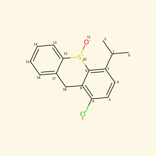 CC(C)c1ccc(Cl)c2c1[S+]([O-])c1ccccc1C2